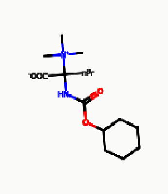 CCCC(NC(=O)OC1CCCCC1)(C(=O)[O-])[N+](C)(C)C